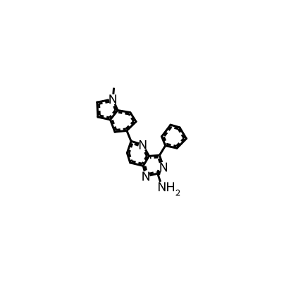 Cn1ccc2cc(-c3ccc4nc(N)nc(-c5ccccc5)c4n3)ccc21